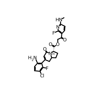 CNc1ccc(C(=O)COC(=O)[C@@H]2CCC3CC(c4c(N)ccc(Cl)c4F)=CC(=O)N32)c(F)n1